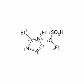 CCOS(=O)(=O)O.CCc1nccn1CC